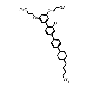 CCc1cc(-c2ccc(C3CCC(CCCCC(F)(F)F)CC3)cc2)ccc1-c1cc(OCCOC)cc(OCCOC)c1